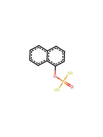 O=P(S)(S)Oc1cccc2ccccc12